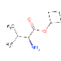 CC(C)[C@H](N)C(=O)OC1CCC1